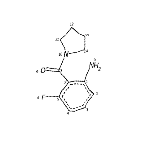 Nc1cccc(F)c1C(=O)N1CCCC1